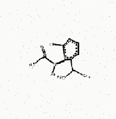 CCN(C(N)=O)c1c(Cl)cccc1C(O)C(F)(F)F